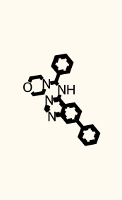 c1ccc(-c2ccc3c(NC(c4ccccc4)N4CCOCC4)ncnc3c2)cc1